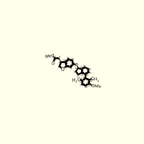 COC(=O)C[C@@H]1COc2cc(O[C@@H]3CCc4c(-c5c(C)ccc(OC)c5C)cccc43)ccc21